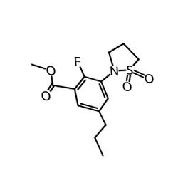 CCCc1cc(C(=O)OC)c(F)c(N2CCCS2(=O)=O)c1